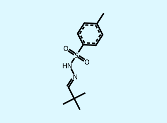 Cc1ccc(S(=O)(=O)NN=CC(C)(C)C)cc1